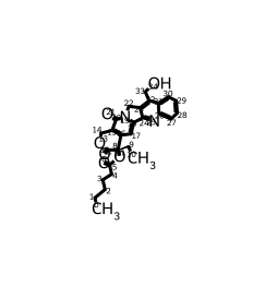 CCCCCC(=O)O[C@]1(CC)C(=O)OCc2c1cc1n(c2=O)Cc2c-1nc1ccccc1c2CO